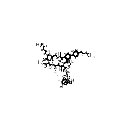 CCCCc1ccc(-c2ccc(C(=O)NCCC(=O)N[C@@H](CCCCN)C(=O)N[C@H](C(=O)N[C@@H](N)C(=O)N[C@@H](CC(N)=O)C(=O)NCB3OC4C[C@@H]5C[C@@H](C5(C)C)[C@]4(C)O3)C(C)O)cc2)cc1